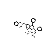 CC(C)C1C(=O)N(CC(=O)N[C@H](C=O)Cc2ccccc2)C(c2ccccc2)=CN1C(=O)c1ccccc1